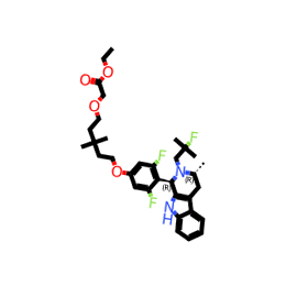 CCOC(=O)COCCC(C)(C)CCOc1cc(F)c([C@@H]2c3[nH]c4ccccc4c3C[C@@H](C)N2CC(C)(C)F)c(F)c1